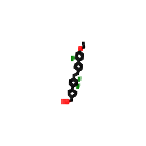 CCOc1ccc(-c2ccc(CCc3ccc(C4=CCC(CO)CC4)c(F)c3F)cc2)c(F)c1